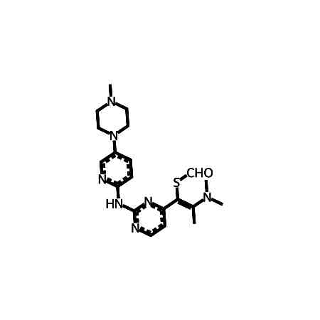 C/C(=C(/SC=O)c1ccnc(Nc2ccc(N3CCN(C)CC3)cn2)n1)N(C)C